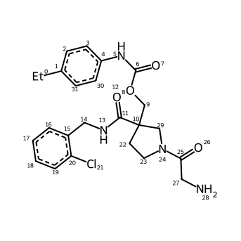 CCc1ccc(NC(=O)OCC2(C(=O)NCc3ccccc3Cl)CCN(C(=O)CN)C2)cc1